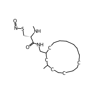 CN[C@@H](CSN=O)C(=O)NCC1CCCCCCCCCCCCCC(C)C1